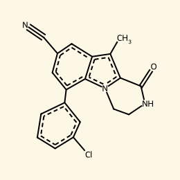 Cc1c2n(c3c(-c4cccc(Cl)c4)cc(C#N)cc13)CCNC2=O